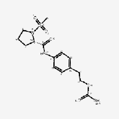 CS(=O)(=O)N1CCC[C@H]1C(=O)Nc1ccc(CCOC(N)=O)cc1